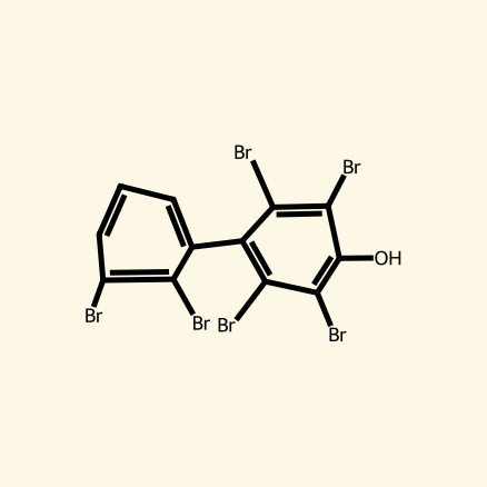 Oc1c(Br)c(Br)c(-c2cccc(Br)c2Br)c(Br)c1Br